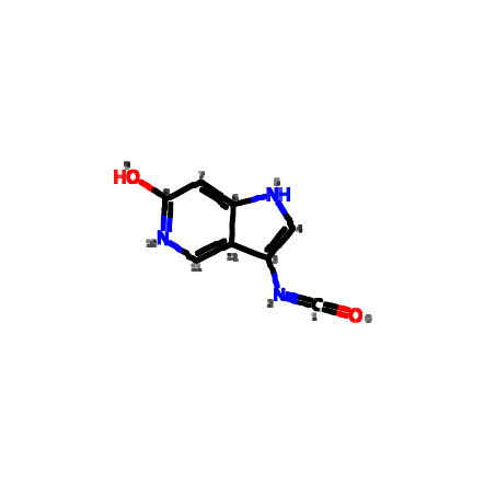 O=C=Nc1c[nH]c2cc(O)ncc12